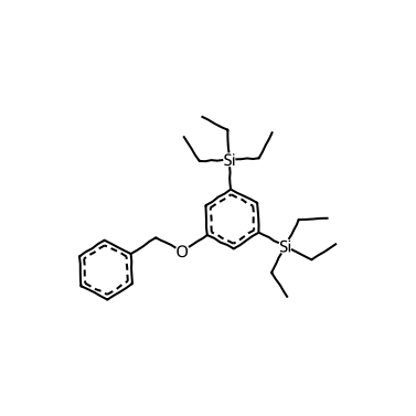 CC[Si](CC)(CC)c1cc(OCc2ccccc2)cc([Si](CC)(CC)CC)c1